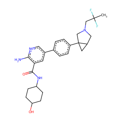 CC(F)(F)CN1CC2CC2(c2ccc(-c3cnc(N)c(C(=O)NC4CCC(O)CC4)c3)cc2)C1